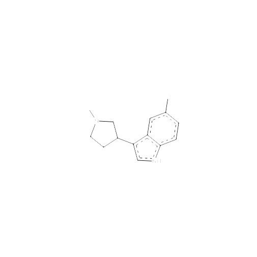 CN1CCC(c2c[nH]c3ccc(Br)cc23)C1